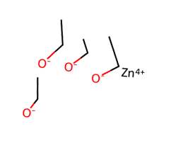 CC[O-].CC[O-].CC[O-].CC[O-].[Zn+4]